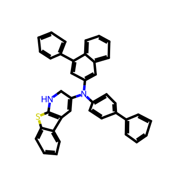 C1=C(N(c2ccc(-c3ccccc3)cc2)c2cc(-c3ccccc3)c3ccccc3c2)CNc2sc3ccccc3c21